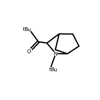 CC(C)(C)C(=O)C1C2CCC(C2)N1C(C)(C)C